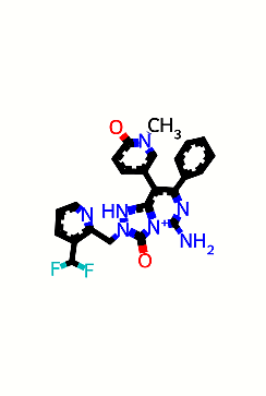 Cn1cc(-c2c(-c3ccccc3)nc(N)[n+]3c(=O)n(Cc4ncccc4C(F)F)[nH]c23)ccc1=O